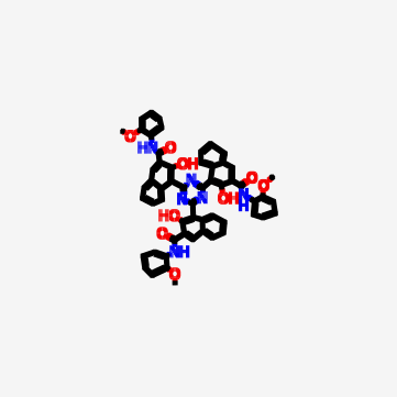 COc1ccccc1NC(=O)c1cc2ccccc2c(-c2nc(-c3c(O)c(C(=O)Nc4ccccc4OC)cc4ccccc34)nc(-c3c(O)c(C(=O)Nc4ccccc4OC)cc4ccccc34)n2)c1O